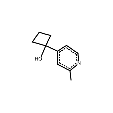 Cc1cc(C2(O)CCC2)ccn1